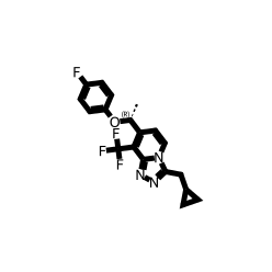 C[C@@H](Oc1ccc(F)cc1)c1ccn2c(CC3CC3)nnc2c1C(F)(F)F